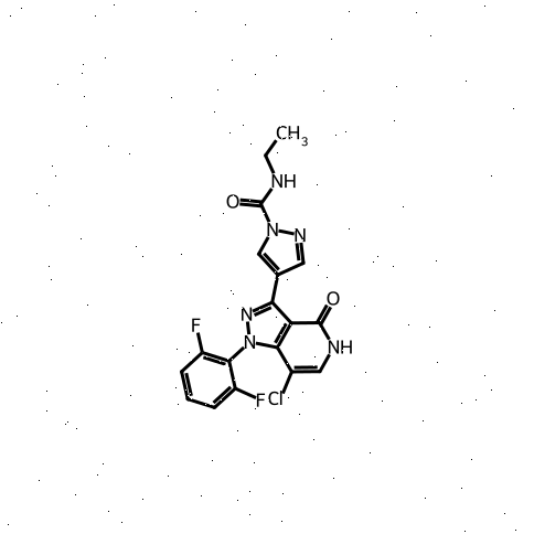 CCNC(=O)n1cc(-c2nn(-c3c(F)cccc3F)c3c(Cl)c[nH]c(=O)c23)cn1